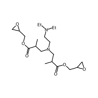 CCN(CC)CCN(CC(C)C(=O)OCC1CO1)CC(C)C(=O)OCC1CO1